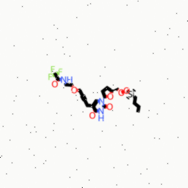 CCCC[Si](C)(C)OOC[C@@H]1CC[C@H](n2cc(CC#CCOCCNC(=O)C(F)(F)F)c(=O)[nH]c2=O)O1